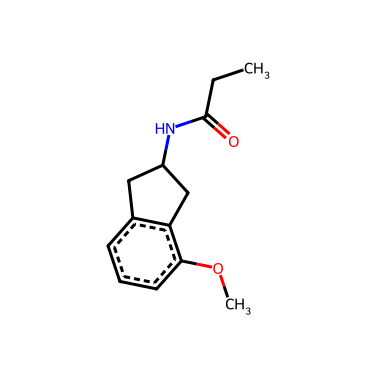 CCC(=O)NC1Cc2cccc(OC)c2C1